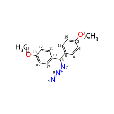 COc1ccc(C(N=[N+]=[N-])c2ccc(OC)cc2)cc1